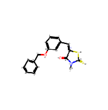 CCN1C(=O)/C(=C\c2cccc(OCc3ccccc3)c2)SC1=S